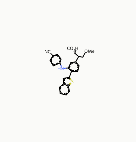 COCC(CC(=O)O)c1ccc(-c2cc3ccccc3s2)c(Nc2ccc(C#N)cc2)c1